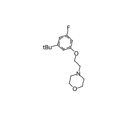 CC(C)(C)c1cc(F)cc(OCCN2CCOCC2)c1